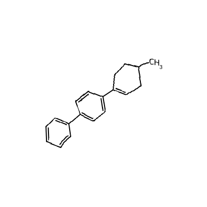 CC1CC=C(c2ccc(-c3ccccc3)cc2)CC1